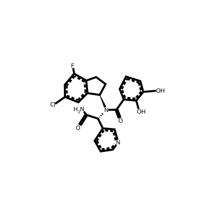 NC(=O)[C@@H](c1cccnc1)N(C(=O)c1cccc(O)c1O)[C@@H]1CCc2c(F)cc(Cl)cc21